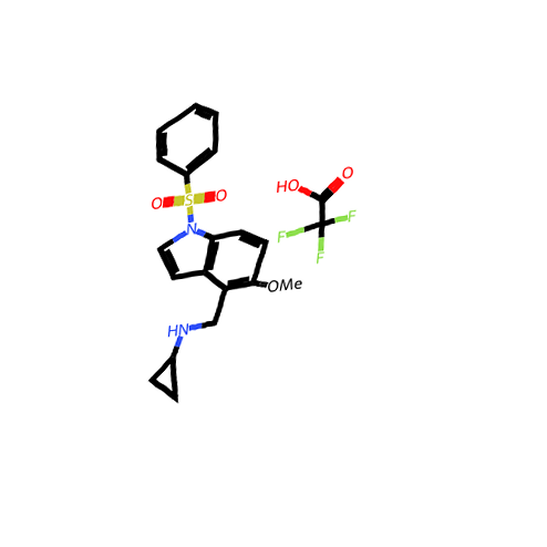 COc1ccc2c(ccn2S(=O)(=O)c2ccccc2)c1CNC1CC1.O=C(O)C(F)(F)F